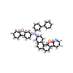 c1ccc(-c2cccc(N(c3ccc4c(ccc5ccc6c7cccnc7oc6c54)c3)c3ccc4c(c3)oc3ccccc34)c2)cc1